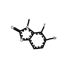 Cn1c(=O)oc2ccc(Br)c(F)c21